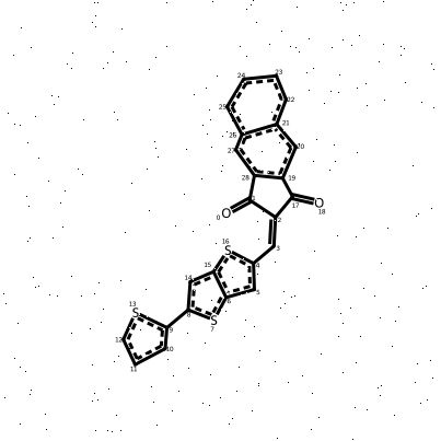 O=C1C(=Cc2cc3sc(-c4cccs4)cc3s2)C(=O)c2cc3ccccc3cc21